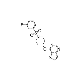 O=S(=O)(c1cccc(F)c1)N1CCC(Oc2ncnc3ccsc23)CC1